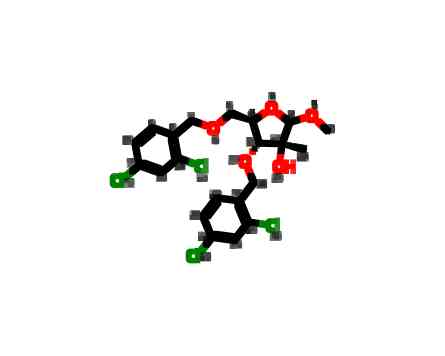 COC1O[C@H](COCc2ccc(Cl)cc2Cl)[C@@H](OCc2ccc(Cl)cc2Cl)[C@@]1(C)O